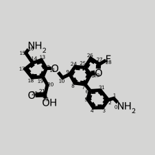 NCc1cccc(-c2cc(COc3cc(CN)ccc3CC(=O)O)cc3cc(F)oc23)c1